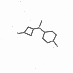 CC1CCC(N(C)C2CC(F)C2)CC1